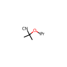 [C-]#[N+]C(C)(C)OC(C)C